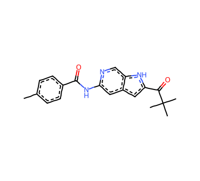 Cc1ccc(C(=O)Nc2cc3cc(C(=O)C(C)(C)C)[nH]c3cn2)cc1